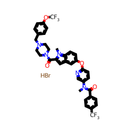 Br.CN(C(=O)c1ccc(C(F)(F)F)cc1)c1ccc(Oc2ccc3c(c2)cc(C(=O)N2CCN(Cc4ccc(OC(F)(F)F)cc4)CC2)n3C)nc1